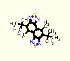 Cc1c(C(C)(C)C)c2nsnc2c2c(C)c(C(C)(C)C)c3nsnc3c12